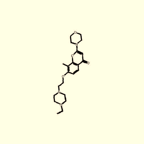 CCN1CCN(CCOc2ccc3c(=O)cc(N4CCOCC4)oc3c2C)CC1